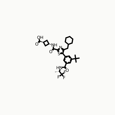 C[C@H](NC(=O)c1cc(-c2sc(C(=O)N[C@H]3C[C@H](C(=O)O)C3)nc2CC2CCCCC2)cc(C(C)(C)C)c1)C(F)(F)F